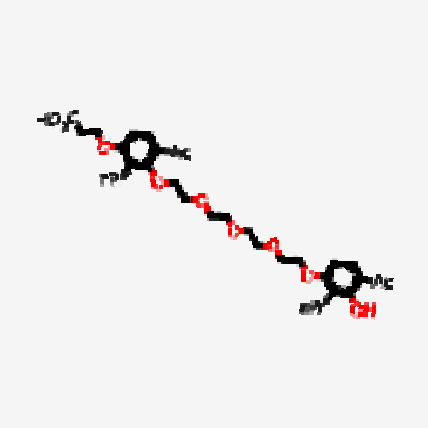 CCCc1c(OCCOCCOCCOCCOc2c(C(C)=O)ccc(OCCC(=O)O)c2CCC)ccc(C(C)=O)c1O